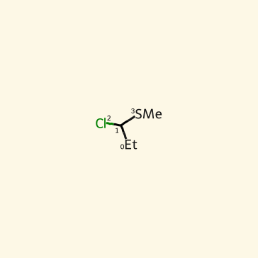 CCC(Cl)SC